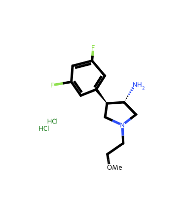 COCCN1C[C@@H](N)[C@H](c2cc(F)cc(F)c2)C1.Cl.Cl